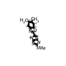 CSc1nn2cc(-c3nc4cc(C)c(C)cc4o3)nc2s1